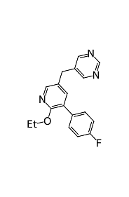 CCOc1ncc(Cc2cncnc2)cc1-c1ccc(F)cc1